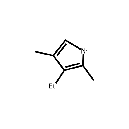 CCC1=C(C)[N]C=C1C